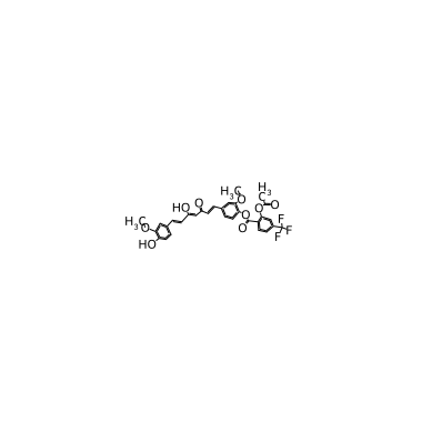 COc1cc(/C=C/C(O)=C/C(=O)/C=C/c2ccc(OC(=O)c3ccc(C(F)(F)F)cc3OC(C)=O)c(OC)c2)ccc1O